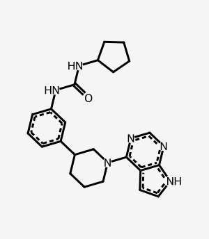 O=C(Nc1cccc(C2CCCN(c3ncnc4[nH]ccc34)C2)c1)NC1CCCC1